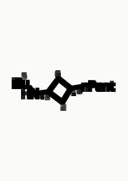 CCCCCC1CC(NC(C)CC)C1